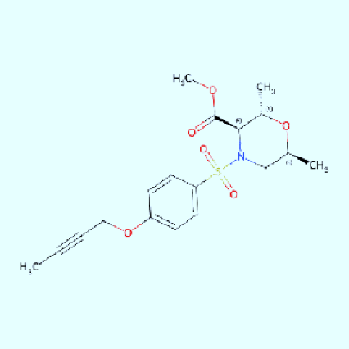 CC#CCOc1ccc(S(=O)(=O)N2C[C@H](C)O[C@@H](C)[C@@H]2C(=O)OC)cc1